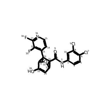 O=C(Nc1ccc(Cl)c(Cl)c1)c1c(-c2ccnc(F)c2F)c2oc1cc2O